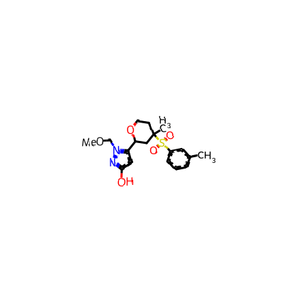 COCn1nc(O)cc1C1CC(C)(S(=O)(=O)c2cccc(C)c2)CCO1